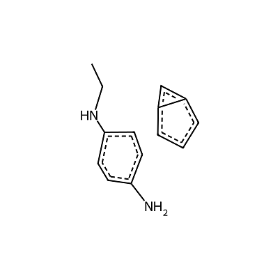 CCNc1ccc(N)cc1.c1cc2cc-2c1